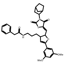 COc1cc(OC)cc(C2=CC(CCCNC(=O)Cc3ccccc3)C(/C=C3\SC(=S)N(C4CC5CCC4C5)C3=O)O2)c1